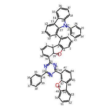 C1=CC2c3c(cccc3-c3cccc4c5ccccc5n(-c5ccccc5)c34)OC2C(c2nc(-c3ccccc3)nc(-c3cccc4c3oc3ccccc34)n2)=C1